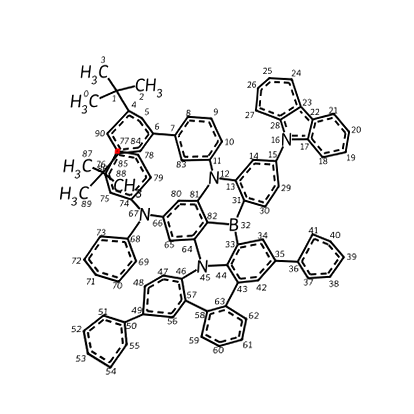 CC(C)(C)c1cc(-c2cccc(N3c4cc(-n5c6ccccc6c6ccccc65)ccc4B4c5cc(-c6ccccc6)cc6c5N(c5ccc(-c7ccccc7)cc5-c5ccccc5-6)c5cc(N(c6ccccc6)c6ccccc6)cc3c54)c2)cc(C(C)(C)C)c1